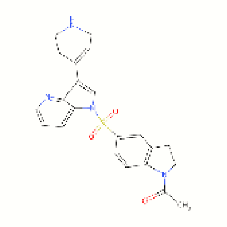 CC(=O)N1CCc2cc(S(=O)(=O)n3cc(C4=CCNCC4)c4ncccc43)ccc21